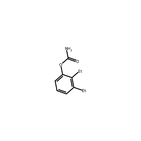 CCc1cccc(OC(N)=O)c1CC